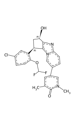 Cc1cc(-c2ccc3nc4c(n3c2)[C@@H](c2cc(Cl)ccc2OC(F)F)C[C@H]4O)cn(C)c1=O